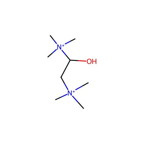 C[N+](C)(C)CC(O)[N+](C)(C)C